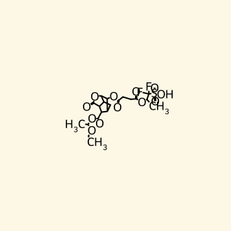 CCOC(C)OC(=O)C1C2CC3C(OC(=O)C31)C2OC(=O)CCC(=O)OC(C)C(F)(F)S(=O)(=O)O